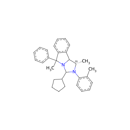 Cc1ccccc1N1C(C2CCCC2)N2C(c3ccccc3C2(C)c2ccccc2)[C@@H]1C